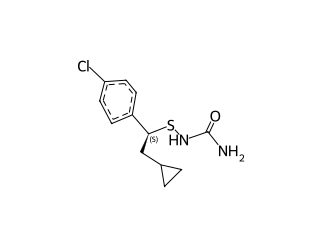 NC(=O)NS[C@@H](CC1CC1)c1ccc(Cl)cc1